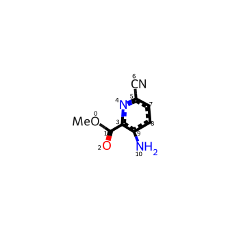 COC(=O)c1nc(C#N)ccc1N